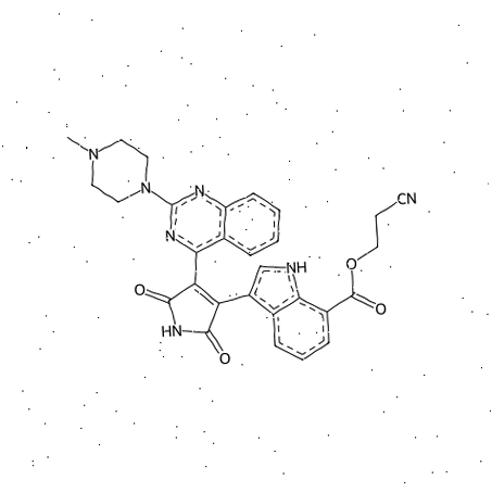 CN1CCN(c2nc(C3=C(c4c[nH]c5c(C(=O)OCCC#N)cccc45)C(=O)NC3=O)c3ccccc3n2)CC1